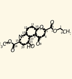 CCOC(=O)c1cc(=O)c2c(ccc3nc(C(=O)OC)cc(O)c32)o1